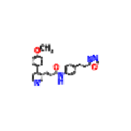 COc1ccc(-c2ccncc2C=CC(=O)Nc2ccc(CCc3nnco3)cc2)cc1